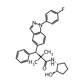 CC(C)(C(=O)N[C@@H]1CCC[C@H]1O)[C@@H](c1ccccc1)c1ccc2c(cnn2-c2ccc(F)cc2)c1